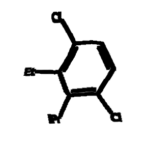 CCc1c(Cl)ccc(Cl)c1C(C)C